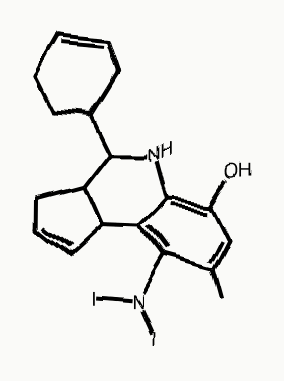 Cc1cc(O)c2c(c1N(I)I)C1C=CCC1C(C1CC=CCC1)N2